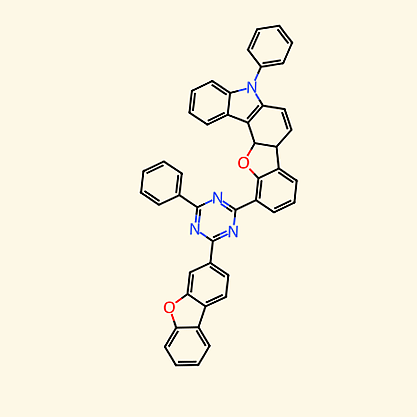 C1=CC2c3cccc(-c4nc(-c5ccccc5)nc(-c5ccc6c(c5)oc5ccccc56)n4)c3OC2c2c1n(-c1ccccc1)c1ccccc21